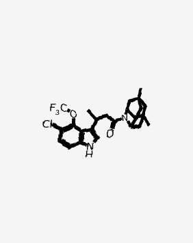 CC(CC(=O)N1C2CC3(C)CC1CC(C)(C2)C3)c1c[nH]c2ccc(Cl)c(OC(F)(F)F)c12